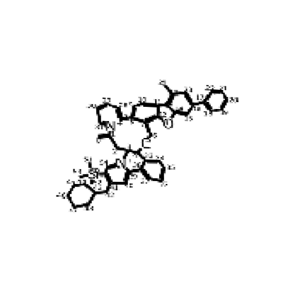 C=C1CC2C(CCc3c(ccc4c3oc3cc(-c5ccccc5)cc(C)c34)-c3cccc[n+]31)c1ccccc1-c1cc(CC3CCCCC3)c([Si](C)(C)C)c[n+]12